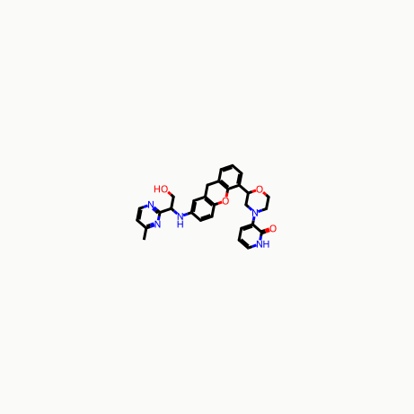 Cc1ccnc(C(CO)Nc2ccc3c(c2)Cc2cccc(C4CN(c5ccc[nH]c5=O)CCO4)c2O3)n1